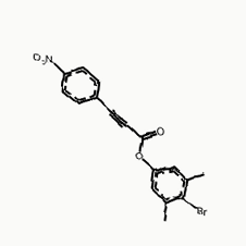 Cc1cc(OC(=O)C#Cc2ccc([N+](=O)[O-])cc2)cc(C)c1Br